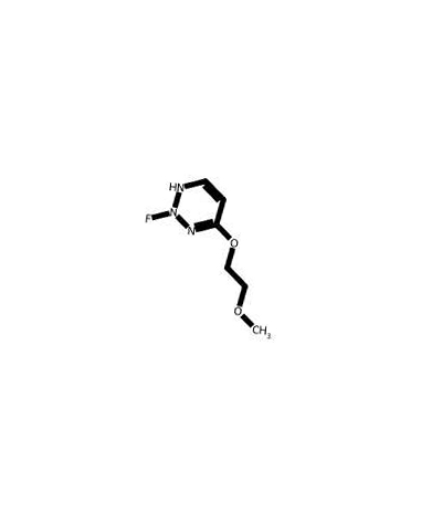 COCCOC1=NN(F)N[C]=C1